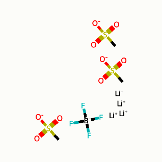 CS(=O)(=O)[O-].CS(=O)(=O)[O-].CS(=O)(=O)[O-].F[B-](F)(F)F.[Li+].[Li+].[Li+].[Li+]